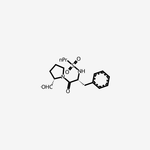 CCCS(=O)(=O)N[C@H](Cc1ccccc1)C(=O)N1CCC[C@H]1[C]=O